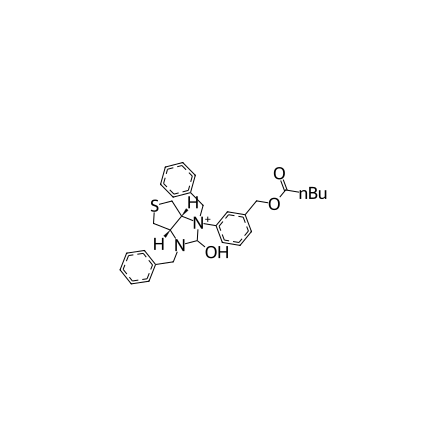 CCCCC(=O)OCc1cccc([N+]2(Cc3ccccc3)C(O)N(Cc3ccccc3)[C@@H]3CSC[C@@H]32)c1